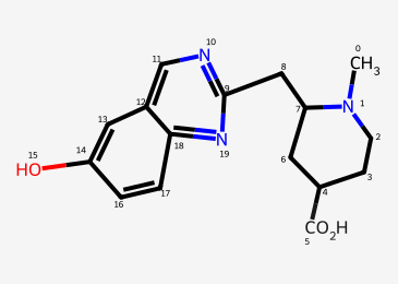 CN1CCC(C(=O)O)CC1Cc1ncc2cc(O)ccc2n1